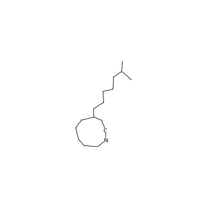 CC(C)CCCCCC1CCCCC[N]CC1